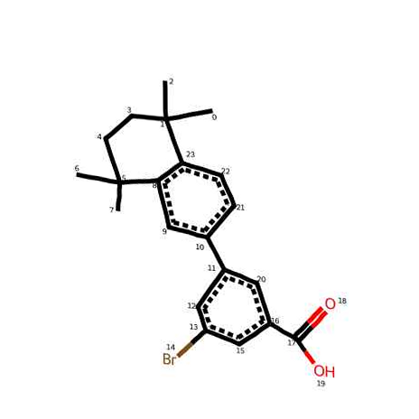 CC1(C)CCC(C)(C)c2cc(-c3cc(Br)cc(C(=O)O)c3)ccc21